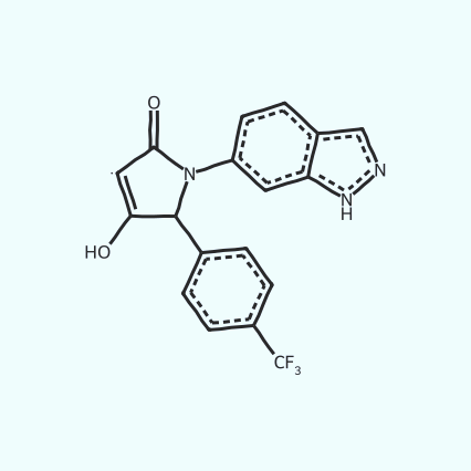 O=C1[C]=C(O)C(c2ccc(C(F)(F)F)cc2)N1c1ccc2cn[nH]c2c1